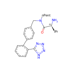 CCCCCN(Cc1ccc(-c2ccccc2-c2nnn[nH]2)cc1)C(=O)[C@@H](N)C(C)C